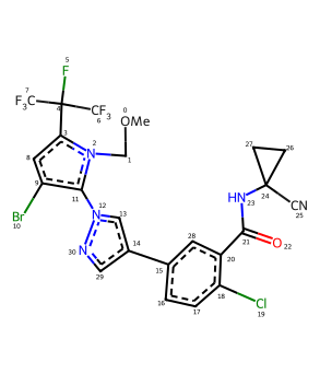 COCn1c(C(F)(C(F)(F)F)C(F)(F)F)cc(Br)c1-n1cc(-c2ccc(Cl)c(C(=O)NC3(C#N)CC3)c2)cn1